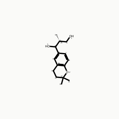 C[C@H](CO)C(O)c1ccc2c(c1)CCC(C)(C)O2